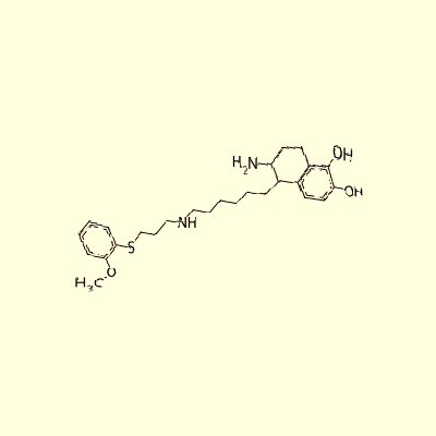 COc1ccccc1SCCCNCCCCCCC1c2ccc(O)c(O)c2CCC1N